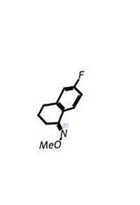 CO/N=C1\CCCc2cc(F)ccc21